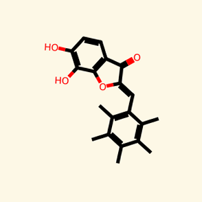 Cc1c(C)c(C)c(C=C2Oc3c(ccc(O)c3O)C2=O)c(C)c1C